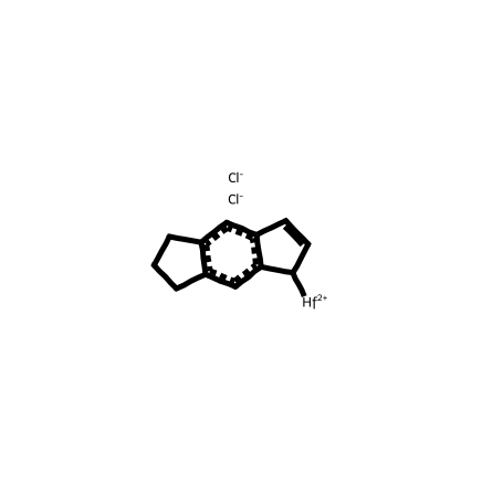 [Cl-].[Cl-].[Hf+2][CH]1C=Cc2cc3c(cc21)CCC3